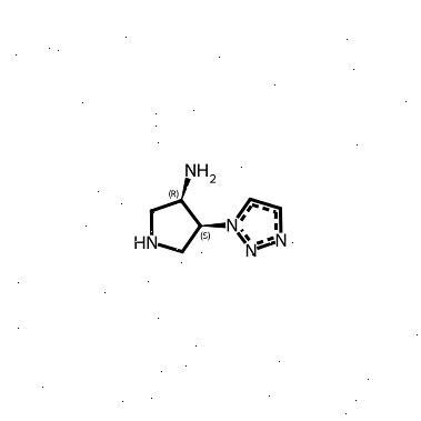 N[C@@H]1CNC[C@@H]1n1ccnn1